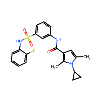 Cc1cc(C(=O)Nc2cccc(S(=O)(=O)Nc3ccccc3F)c2)c(C)n1C1CC1